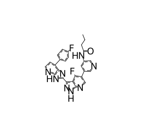 CCCC(=O)Nc1cncc(-c2cnc3[nH]nc(-c4nc5c(-c6ccc(F)cc6)ccnc5[nH]4)c3c2F)c1